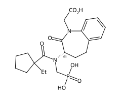 CCC1(C(=O)N(CP(=O)(O)O)[C@H]2CCc3ccccc3N(CC(=O)O)C2=O)CCCC1